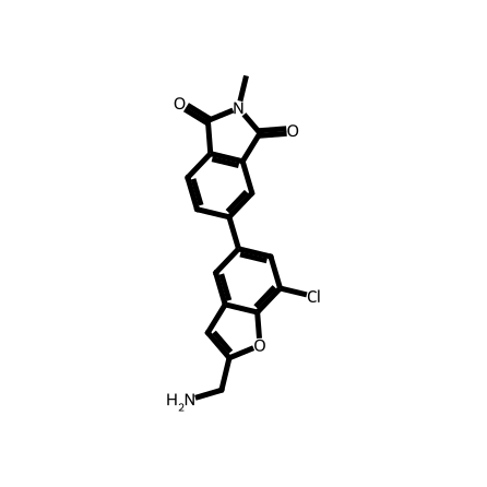 CN1C(=O)c2ccc(-c3cc(Cl)c4oc(CN)cc4c3)cc2C1=O